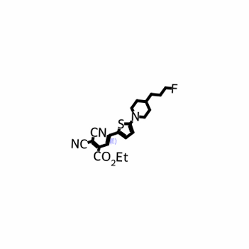 CCOC(=O)C(/C=C/c1ccc(N2CCC(CCCF)CC2)s1)=C(C#N)C#N